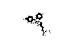 CCN(C)CCCCN1c2ccccc2N(c2ccc(Cl)cc2)S1(O)O